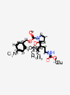 C=CC(CCNC(=O)OC(C)(C)C)[C@@]1(O[Si](C)(C)C(C)(C)C)CCCN1C(=O)OCc1ccc([N+](=O)[O-])cc1